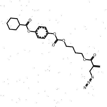 C=C(CN=[N+]=[N-])C(=O)OCCCCOC(=O)Oc1ccc(OC(=O)C2CCCCC2)cc1